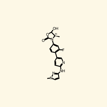 C[C@@H]1C(O)OC(=O)N1c1ccc(-c2ccc(Nc3ccn(C)n3)nc2)c(F)c1